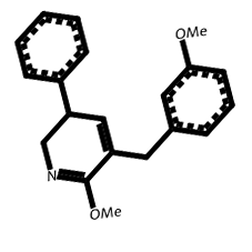 COC1=NCC(c2ccccc2)C=C1Cc1cccc(OC)c1